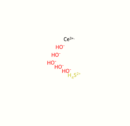 [Ce+3].[OH-].[OH-].[OH-].[OH-].[OH-].[SH4+2]